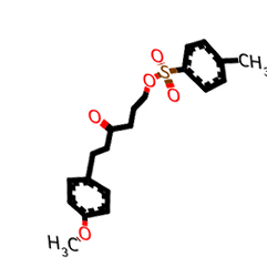 COc1ccc(CCC(=O)CCCOS(=O)(=O)c2ccc(C)cc2)cc1